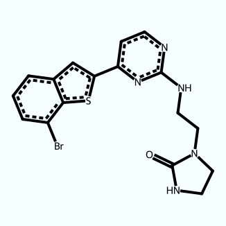 O=C1NCCN1CCNc1nccc(-c2cc3cccc(Br)c3s2)n1